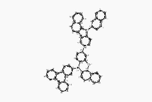 c1ccc2cc(-n3c4ccc(-c5ccc6c(c5)Oc5c(ccc7ccccc57)N6c5ccc6c7ccccc7c7ccccc7c6c5)cc4c4ccc5ccccc5c43)ccc2c1